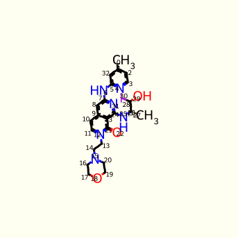 Cc1ccnc(Nc2cc3ccn(CCN4CCOCC4)c(=O)c3c(N[C@@H](C)C(O)I)n2)c1